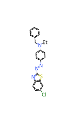 CCN(Cc1ccccc1)c1ccc(N=Nc2nc3ccc(Cl)cc3s2)cc1